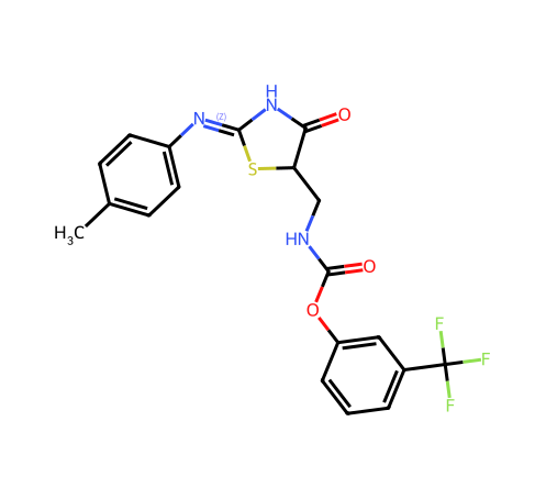 Cc1ccc(/N=C2/NC(=O)C(CNC(=O)Oc3cccc(C(F)(F)F)c3)S2)cc1